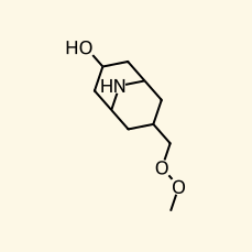 COOCC1CC2CC(O)CC(C1)N2